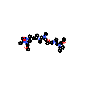 c1ccc(-c2nc(-n3c4cc5oc6ccccc6c5cc4c4ccc5c6c(-c7ccc8cc(-n9c%10ccccc%10c%10c%11c%12cc%13c(cc%12n(-c%12ccccc%12)c%11ccc%109)oc9c(-c%10ccc(-n%11c%12ccccc%12c%12c%14c%15cc%16c(cc%15n(-c%15cc%17ccccc%17c%17ccccc%15%17)c%14ccc%12%11)oc%11ccccc%11%16)cc%10)cccc9%13)c9ccccc9c8c7)cccc6n(-c6ccccc6)c5c43)nc3ccccc23)cc1